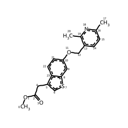 COC(=O)Cc1csc2cc(OCc3ccc(C)nc3C)ccc12